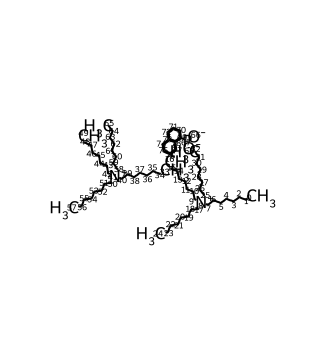 CCCCCCCC[N+](CCCCCCCC)(CCCCCCCC)CCCCCCCC.CCCCCCCC[N+](CCCCCCCC)(CCCCCCCC)CCCCCCCC.[O-]P([O-])c1cccc2ccccc12